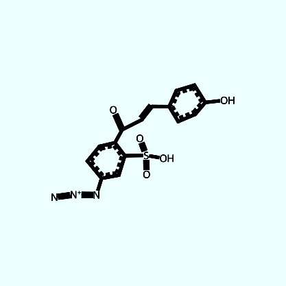 [N-]=[N+]=Nc1ccc(C(=O)/C=C/c2ccc(O)cc2)c(S(=O)(=O)O)c1